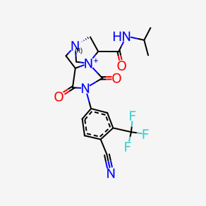 CC(C)NC(=O)C1C[N@@]2CC3C(=O)N(c4ccc(C#N)c(C(F)(F)F)c4)C(=O)[N+]13C2